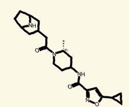 C[C@@H]1CC(NC(=O)c2cc(C3CC3)on2)CCN1C(=O)CC1CC2CCC(C1)N2